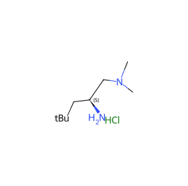 CN(C)C[C@@H](N)CC(C)(C)C.Cl